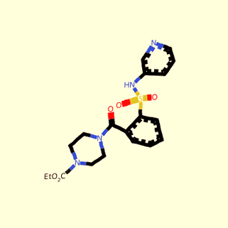 CCOC(=O)N1CCN(C(=O)c2ccccc2S(=O)(=O)Nc2cccnc2)CC1